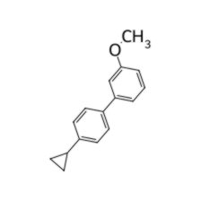 COc1cccc(-c2ccc(C3CC3)cc2)c1